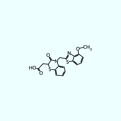 COc1cccc2sc(CN3C(=O)C(CC(=O)O)Sc4ccccc43)nc12